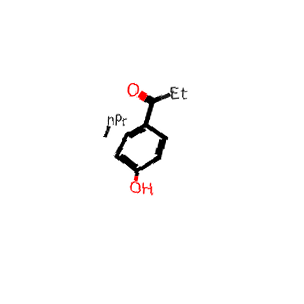 CCC(=O)c1ccc(O)cc1.CCCC